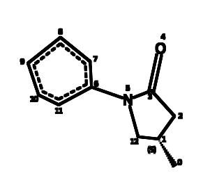 C[C@H]1CC(=O)N(c2ccccc2)C1